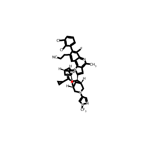 Cc1nc2c(F)c(-c3cccc(Cl)c3Cl)c(CCC#N)cc2c2c1cc([C@H]1[C@H]3C[C@H](CN(c4cnn(C(F)(F)F)c4)C3)N1C(=O)C1CC1)n2[C@H]1[C@H]2CN[C@@H]1C2